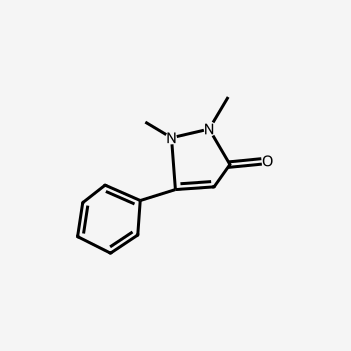 Cn1c(-c2ccccc2)cc(=O)n1C